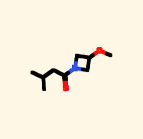 COC1CN(C(=O)CC(C)C)C1